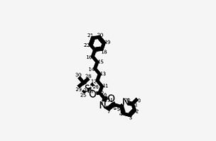 Cc1cccc(-c2cnc(C(CCCCCCc3ccccc3)O[Si](C)(C)C(C)(C)C)o2)n1